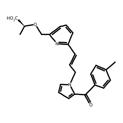 Cc1ccc(C(=O)c2cccn2C/C=C/c2cccc(CO[C@@H](C)C(=O)O)n2)cc1